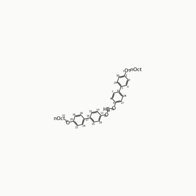 CCCCCCCCOc1ccc(-c2ccc(OBOc3ccc(-c4ccc(OCCCCCCCC)cc4)cc3)cc2)cc1